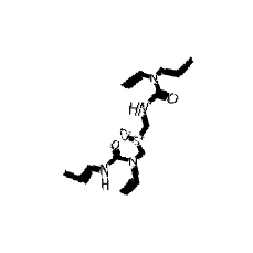 C=CN(/C=C/C)C(=O)NC[S+]([O-])CN(C=C)C(=O)N/C=C/C